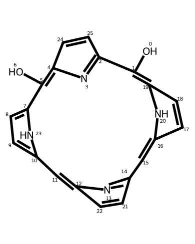 Oc1c2nc(c(O)c3ccc(cc4nc(cc5ccc1[nH]5)C=C4)[nH]3)C=C2